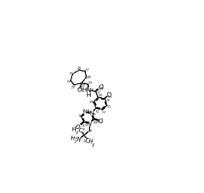 CC(C)(N)Cn1c(=O)cnn(-c2ccc(Cl)c(C(=O)NCC3(O)CCCCCC3)c2)c1=O